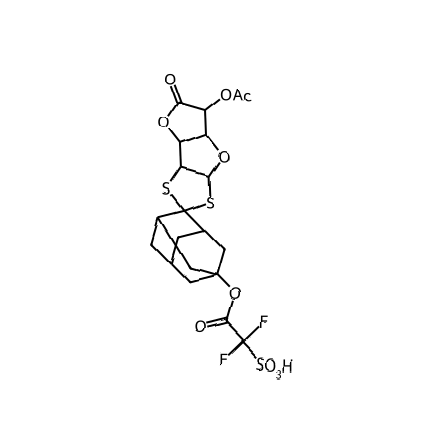 CC(=O)OC1C(=O)OC2C1OC1SC3(SC12)C1CC2CC3CC(OC(=O)C(F)(F)S(=O)(=O)O)(C2)C1